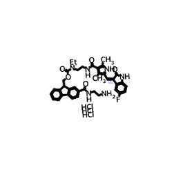 CCN(CCNC(=O)c1c(C)[nH]c(/C=C2\C(=O)Nc3ccc(F)cc32)c1C)C(=O)OCC1c2ccccc2-c2ccc(C(=O)NCCN)cc21.Cl.Cl.Cl